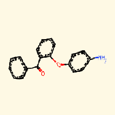 Nc1ccc(Oc2ccccc2C(=O)c2ccccc2)cc1